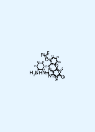 Cn1c(=O)c2c(nc(NC3CCCCC3N)n2Cc2ccccc2OC(F)F)n(C)c1=O